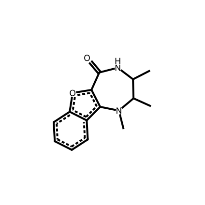 CC1NC(=O)c2oc3ccccc3c2N(C)C1C